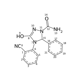 N#Cc1ccccc1N1C(O)=NN(C(N)=O)C1c1ccccc1